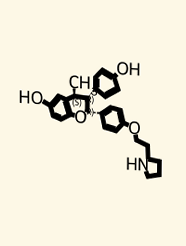 C[C@@H]1c2cc(O)ccc2O[C@@H](c2ccc(OCCC3CCCN3)cc2)[C@H]1c1ccc(O)cc1